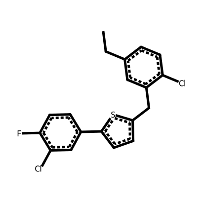 CCc1ccc(Cl)c(Cc2ccc(-c3ccc(F)c(Cl)c3)s2)c1